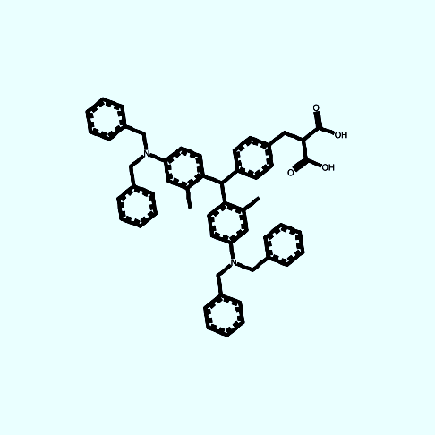 Cc1cc(N(Cc2ccccc2)Cc2ccccc2)ccc1C(c1ccc(CC(C(=O)O)C(=O)O)cc1)c1ccc(N(Cc2ccccc2)Cc2ccccc2)cc1C